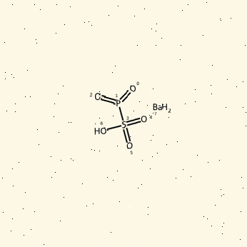 O=P(=O)S(=O)(=O)O.[BaH2]